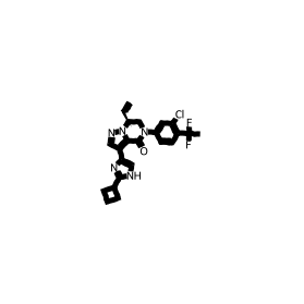 C=C[C@H]1CN(c2ccc(C(C)(F)F)c(Cl)c2)C(=O)c2c(-c3c[nH]c(C4CCC4)n3)cnn21